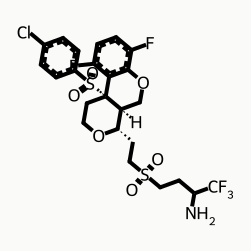 NC(CCS(=O)(=O)CC[C@@H]1OCC[C@@]2(S(=O)(=O)c3ccc(Cl)cc3)c3c(F)ccc(F)c3OC[C@@H]12)C(F)(F)F